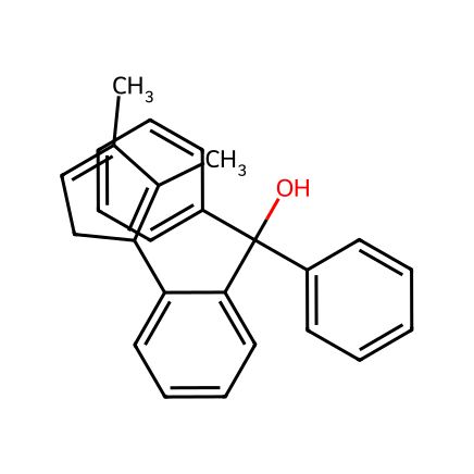 CC1=CCC(c2ccccc2C(O)(c2ccccc2)c2ccccc2)=C1C